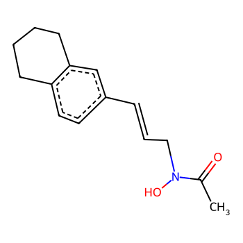 CC(=O)N(O)CC=Cc1ccc2c(c1)CCCC2